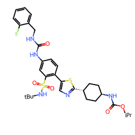 CC(C)OC(=O)N[C@H]1CC[C@H](c2ncc(-c3ccc(NC(=O)NCc4ccccc4F)cc3S(=O)(=O)NC(C)(C)C)s2)CC1